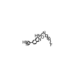 CN(CC(=O)Nc1cc2cc(-c3cn[nH]c3)ccc2cn1)C1CC2(C1)CN(CCF)C2